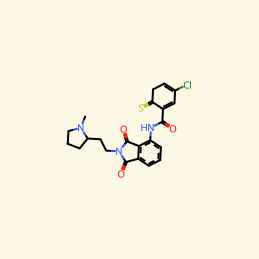 CN1CCCC1CCN1C(=O)c2cccc(NC(=O)C3=CC(Cl)=CCC3=S)c2C1=O